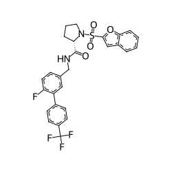 O=C(NCc1ccc(F)c(-c2ccc(C(F)(F)F)cc2)c1)[C@@H]1CCCN1S(=O)(=O)c1cc2ccccc2o1